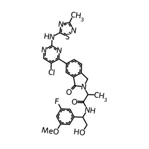 COc1cc(F)cc(C(CO)NC(=O)C(C)N2Cc3ccc(-c4nc(Nc5nc(C)ns5)ncc4Cl)cc3C2=O)c1